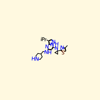 Cc1csc(C2(Nc3cc(NCC4CCNCC4)nc4c(C(C)C)cnn34)CC2)n1